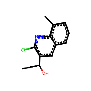 Cc1cccc2cc(C(C)O)c(Cl)nc12